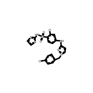 O=S(=O)(Nc1nccs1)c1ccc(Nc2ccn(Cc3ccc(Cl)cc3)n2)cc1Cl